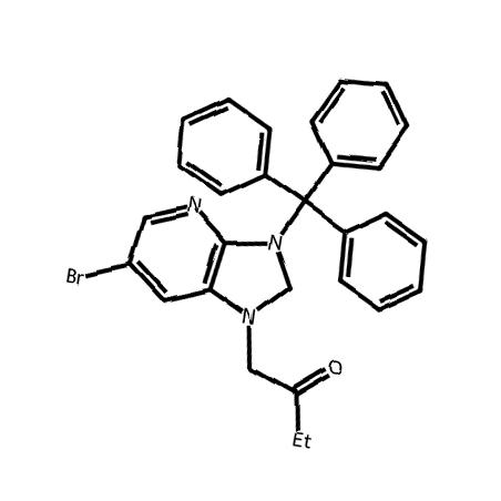 CCC(=O)CN1CN(C(c2ccccc2)(c2ccccc2)c2ccccc2)c2ncc(Br)cc21